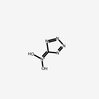 O[N+](O)=C1N=NN=N1